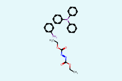 CCOC(=O)N=NC(=O)OCC.Pc1ccccc1.c1ccc(P(c2ccccc2)c2ccccc2)cc1